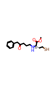 COC(=O)[C@H](CCS)NCCCC(=O)Cc1ccccc1